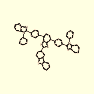 c1ccc(-n2c(-c3ccc(-c4ccc(-c5ccc(-c6nc7ccccc7n6-c6ccccc6)cc5)c5sc(-c6ccc7sc8ccccc8c7c6)nc45)cc3)nc3ccccc32)cc1